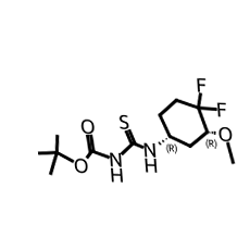 CO[C@@H]1C[C@H](NC(=S)NC(=O)OC(C)(C)C)CCC1(F)F